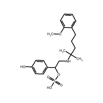 COc1ccccc1CCCC(C)(C)NCC(OS(=O)(=O)O)c1ccc(O)cc1